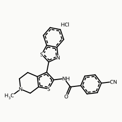 CN1CCc2c(sc(NC(=O)c3ccc(C#N)cc3)c2-c2nc3ccccc3s2)C1.Cl